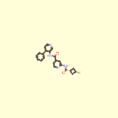 O=C(Nc1cnccc1-c1ccccc1)c1ccnc(NC(=O)[C@H]2C[C@H](Cl)C2)c1